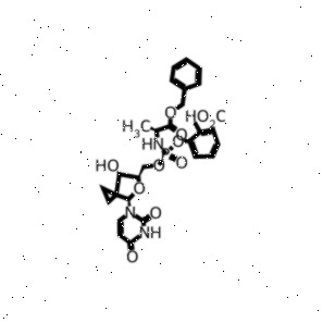 C[C@H](NP(=O)(OC[C@H]1O[C@@H](n2ccc(=O)[nH]c2=O)C2(CC2)[C@@H]1O)Oc1ccccc1C(=O)O)C(=O)OCc1ccccc1